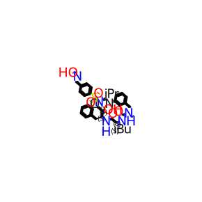 CC[C@H](C)[C@H](NC(=O)N(C)Cc1cccc([N+](=O)[O-])c1)C(=O)N[C@@H](Cc1ccccc1)[C@@H](O)CN(CC(C)C)S(=O)(=O)c1ccc(C=NO)cc1